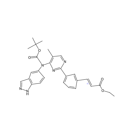 CCOC(=O)/C=C/c1cccc(-c2ncc(C)c(N(C(=O)OC(C)(C)C)c3ccc4[nH]ncc4c3)n2)c1